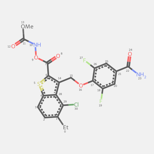 CCc1ccc2sc(C(=O)ONC(=O)OC)c(COc3c(F)cc(C(N)=O)cc3F)c2c1Cl